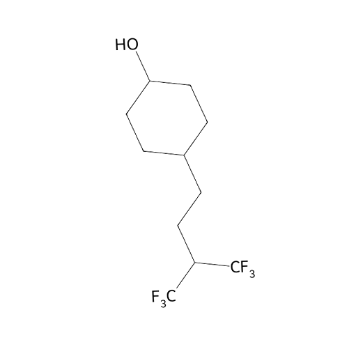 OC1CCC(CCC(C(F)(F)F)C(F)(F)F)CC1